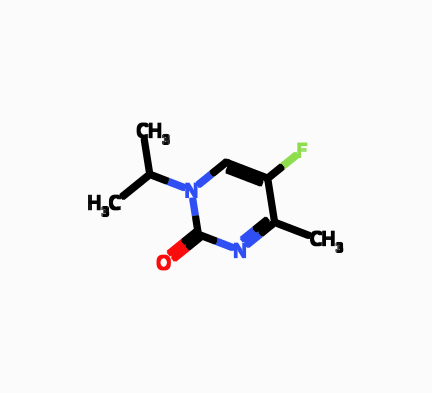 Cc1nc(=O)n(C(C)C)cc1F